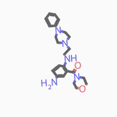 Nc1ccc(NCCN2CCN(c3ccccc3)CC2)c(C(=O)N2CCOCC2)c1